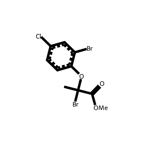 COC(=O)C(C)(Br)Oc1ccc(Cl)cc1Br